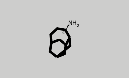 N[C@H]1CCC2CC3CC(C2)C1C3